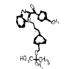 Cc1ccc(C(=O)c2nc3ccccc3n2C/C=C/c2ccc(COC(C)(C)C(=O)O)cc2)cc1